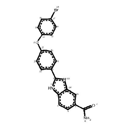 NC(=O)c1ccc2[nH]c(-c3ccc(Oc4ccc(Br)cc4)cc3)nc2c1